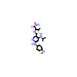 CNC(=O)c1nc(-c2cnc(Nc3ccc4ncsc4c3)cc2NC(C)C)sc1C